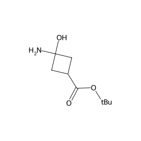 CC(C)(C)OC(=O)C1CC(N)(O)C1